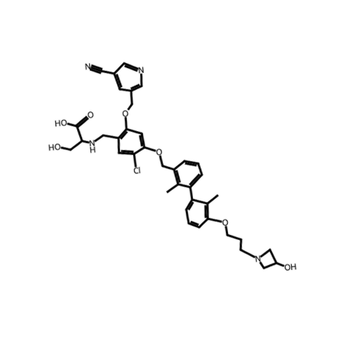 Cc1c(COc2cc(OCc3cncc(C#N)c3)c(CNC(CO)C(=O)O)cc2Cl)cccc1-c1cccc(OCCCN2CC(O)C2)c1C